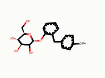 COc1ccc(Cc2ccccc2O[C@@H]2O[C@H](CO)[C@@H](O)[C@H](O)C2O)cc1